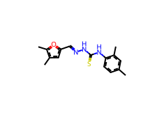 Cc1ccc(NC(=S)NN=Cc2cc(C)c(C)o2)c(C)c1